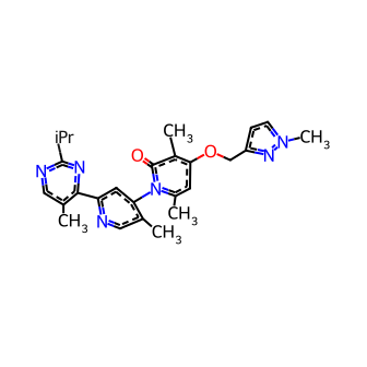 Cc1cnc(-c2nc(C(C)C)ncc2C)cc1-n1c(C)cc(OCc2ccn(C)n2)c(C)c1=O